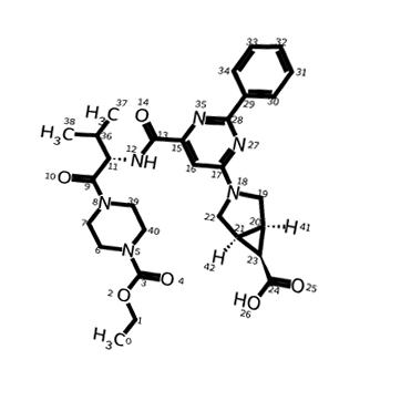 CCOC(=O)N1CCN(C(=O)[C@@H](NC(=O)c2cc(N3C[C@@H]4[C@H](C3)[C@@H]4C(=O)O)nc(-c3ccccc3)n2)C(C)C)CC1